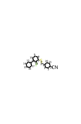 N#Cc1ccc(CSc2cccc(-c3ccccc3)c2F)cc1